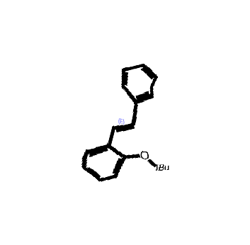 CCC(C)Oc1ccccc1/C=C/c1ccccc1